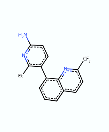 CCc1nc(N)ccc1-c1cccc2ccc(C(F)(F)F)nc12